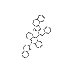 c1ccc2nc(-c3c4ccccc4c(-c4cc5ccccc5c5c4oc4ccc6ccccc6c45)c4ccccc34)ccc2c1